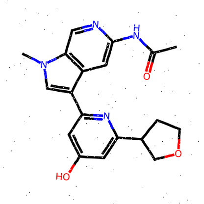 CC(=O)Nc1cc2c(-c3cc(O)cc(C4CCOC4)n3)cn(C)c2cn1